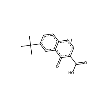 CC(C)(C)c1ccc2[nH]cc(C(=O)O)c(=O)c2c1